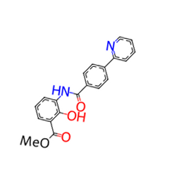 COC(=O)c1cccc(NC(=O)c2ccc(-c3ccccn3)cc2)c1O